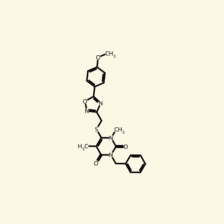 COc1ccc(-c2nc(CSc3c(C)c(=O)n(Cc4ccccc4)c(=O)n3C)no2)cc1